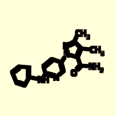 Cc1nn(-c2ccc(Nc3ccccc3)nc2)c(C(N)=O)c1C